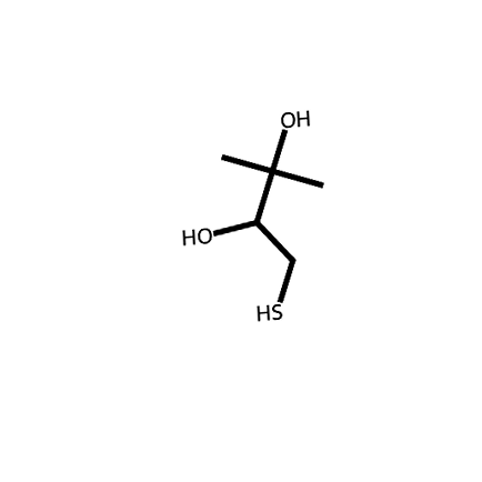 CC(C)(O)C(O)CS